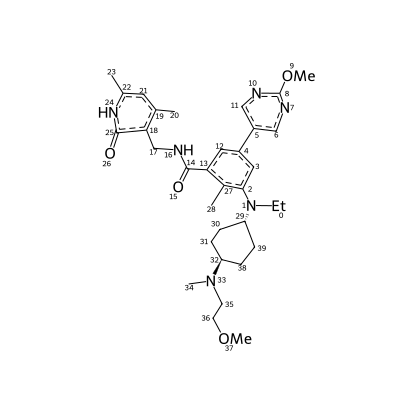 CCN(c1cc(-c2cnc(OC)nc2)cc(C(=O)NCc2c(C)cc(C)[nH]c2=O)c1C)[C@H]1CC[C@H](N(C)CCOC)CC1